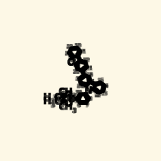 CC1(C)OB(c2cccc(-n3c4ccccc4c4cc(-c5ccc6c(c5)oc5ccccc56)ccc43)c2)OC1(C)C